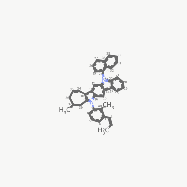 C/C=C\c1cccc(-n2c3c(c4cc5c(cc42)c2ccccc2n5-c2cccc4ccccc24)C=CCC(C)C3)c1C